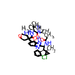 CCNC(=O)[C@H](NC(=O)C1(c2ccc3nc([C@@H](NC(=O)CC)[C@H](c4ccccc4Cl)C4(C)CC4)[nH]c3c2)CCOCC1)C(C)(C)C